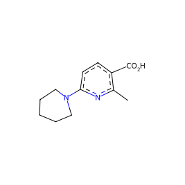 Cc1nc(N2CCCCC2)ccc1C(=O)O